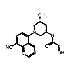 C[C@H]1C[C@@H](NC(=O)CO)CN(c2ccc(C#N)c3ncccc23)C1